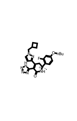 CCCCOc1ccc([C@]2(C)CC(c3ccn(CC4CCC4)n3)=C(c3nnn[nH]3)C(=O)N2)c(F)c1